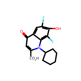 O=C(O)c1cc(=O)c2cc(F)c(O)c(F)c2n1C1CCCCC1